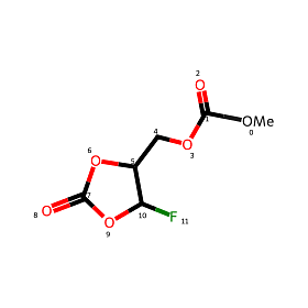 COC(=O)OCC1OC(=O)OC1F